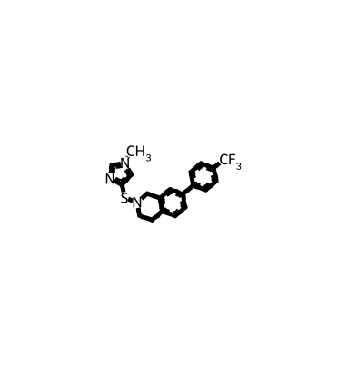 Cn1cnc(SN2CCc3ccc(-c4ccc(C(F)(F)F)cc4)cc3C2)c1